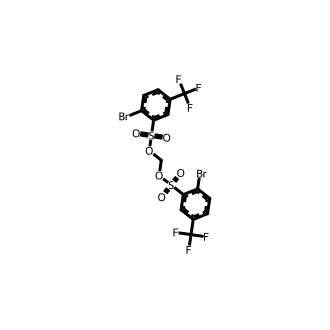 O=S(=O)(OCOS(=O)(=O)c1cc(C(F)(F)F)ccc1Br)c1cc(C(F)(F)F)ccc1Br